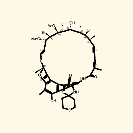 CC[C@H]1[C@@H](OC(C)=O)[C@H](C)[C@H](O)[C@H](C)[C@@H](O)[C@@H](C)/C=C/C=C(/C)C(=O)NC2=C3NC4(CCSCC4)N=C3c3c(c(O)c(C)c4c3C(=N)[C@@](C)(C/C=C/[C@@H]1OC)O4)C2=O